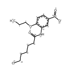 CCCOc1ccc([N+](=O)[O-])cc1NC(=O)CCCCCCl